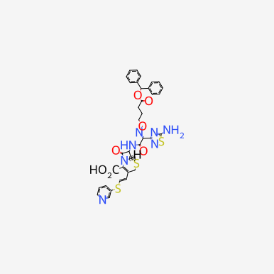 Nc1nc(C(=NOCCCC(=O)OC(c2ccccc2)c2ccccc2)C(=O)NC2C(=O)N3C(C(=O)O)=C(C=CSc4cccnc4)CS[C@@H]23)ns1